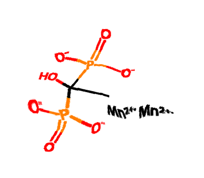 CC(O)(P(=O)([O-])[O-])P(=O)([O-])[O-].[Mn+2].[Mn+2]